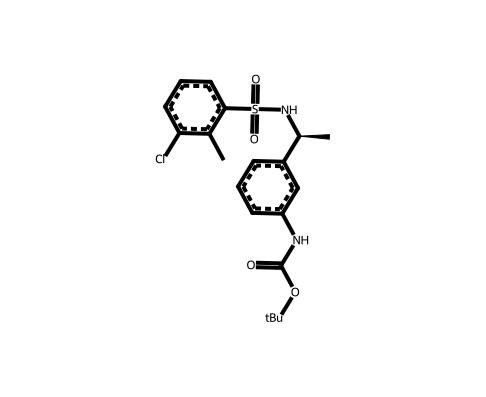 Cc1c(Cl)cccc1S(=O)(=O)N[C@@H](C)c1cccc(NC(=O)OC(C)(C)C)c1